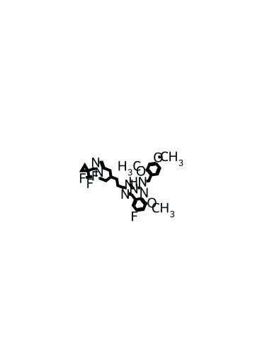 COc1ccc(CNc2nc3c(OC)cc(F)cc3c3nc(CCC4CCn5c(cnc5C5(C(F)(F)F)CC5)C4)nn23)c(OC)c1